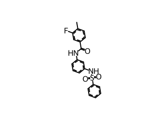 Cc1ccc(C(=O)Nc2cccc(NS(=O)(=O)c3ccccc3)c2)cc1F